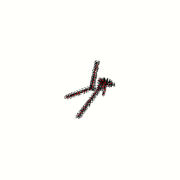 CCCCCC=CC1=C(c2ccc(CC)cc2)[N+](=[N-])C(c2ccccc2CCC#CCCCCCCCCCCCCCCCCCCCCCCCCCC)=C1CCCC.CCCCCCCCCCCCCCCCCC[CH2][Ni][CH2]CCCCCCCCCCCCCCCCCC